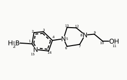 Bc1ccc(N2CCN(CCO)CC2)cn1